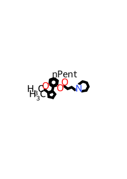 CCCCCc1cc(OC(=O)CCCN2CCCCCC2)c2c(c1)OC(C)(C)C1=C2CCC1